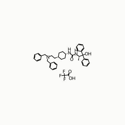 C[C@@H](NC(=O)N[C@H]1CC[C@H](CCN(Cc2ccccc2)Cc2ccccc2)CC1)C(O)(c1ccccc1)c1ccccc1.O=C(O)C(F)(F)F